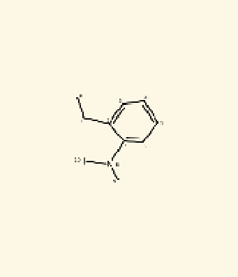 CCc1ccccc1N(C)I